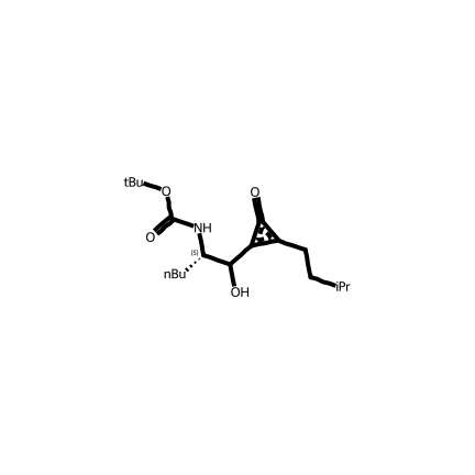 CCCC[C@H](NC(=O)OC(C)(C)C)C(O)c1c(CCC(C)C)c1=O